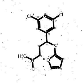 CN(C)CCC(Sc1ccco1)c1cc(Cl)cc(Cl)c1